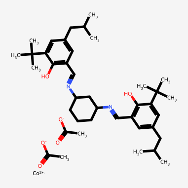 CC(=O)[O-].CC(=O)[O-].CC(C)Cc1cc(C=NC2CCCC(N=Cc3cc(CC(C)C)cc(C(C)(C)C)c3O)C2)c(O)c(C(C)(C)C)c1.[Co+2]